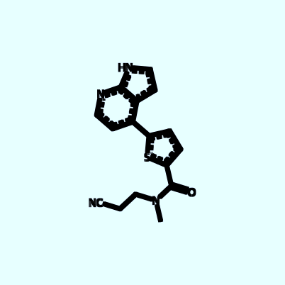 CN(CCC#N)C(=O)c1ccc(-c2ccnc3[nH]ccc23)s1